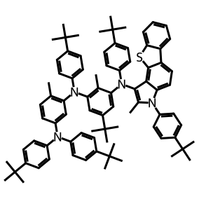 Cc1ccc(N(c2ccc(C(C)(C)C)cc2)c2ccc(C(C)(C)C)cc2)cc1N(c1ccc(C(C)(C)C)cc1)c1cc(C(C)(C)C)cc(N(c2ccc(C(C)(C)C)cc2)c2c(C)n(-c3ccc(C(C)(C)C)cc3)c3ccc4c5ccccc5sc4c23)c1C